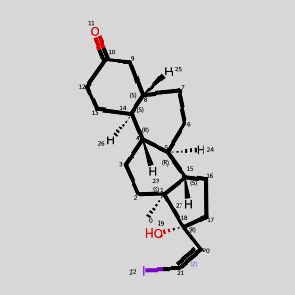 C[C@]12CC[C@H]3[C@@H](CC[C@H]4CC(=O)CC[C@@H]43)[C@@H]1CC[C@@]2(O)/C=C\I